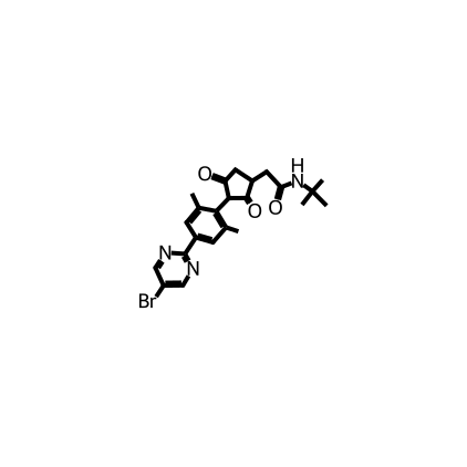 Cc1cc(-c2ncc(Br)cn2)cc(C)c1C1C(=O)CC(CC(=O)NC(C)(C)C)C1=O